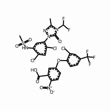 Cc1nn(-c2cc(NS(C)(=O)=O)c(Cl)cc2Cl)c(=O)n1C(F)F.O=C(O)c1cc(Oc2ccc(C(F)(F)F)cc2Cl)ccc1[N+](=O)[O-]